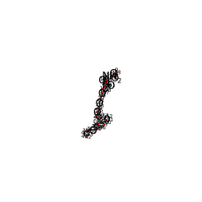 CC(C)(C)OC(=O)CC[C@@H](C(N)=O)N1Cc2cc(OCCCOCCCOc3ccc(C4c5ccc(OCc6ccccc6)cc5CCC4c4ccccc4)cc3)ccc2C1=O